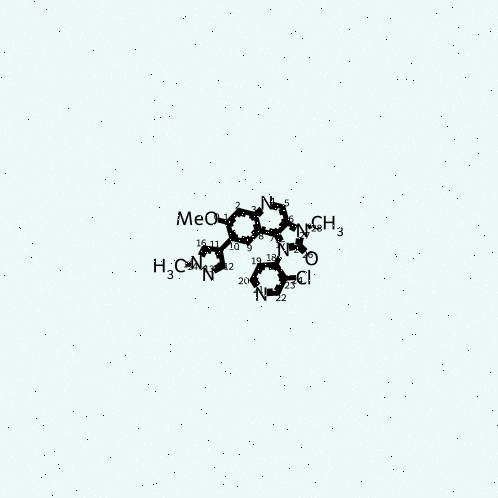 COc1cc2ncc3c(c2cc1-c1cnn(C)c1)n(-c1ccncc1Cl)c(=O)n3C